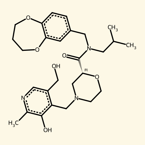 Cc1ncc(CO)c(CN2CCO[C@@H](C(=O)N(Cc3ccc4c(c3)OCCCO4)CC(C)C)C2)c1O